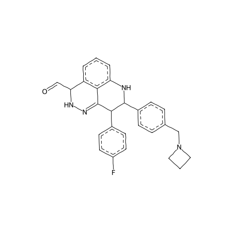 O=CC1NN=C2c3c(cccc31)NC(c1ccc(CN3CCC3)cc1)C2c1ccc(F)cc1